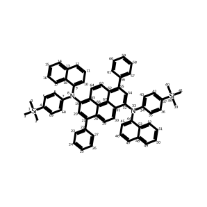 C[Si](C)(C)c1ccc(N(c2cccc3ccccc23)c2cc(-c3ccccc3)c3ccc4c(N(c5ccc([Si](C)(C)C)cc5)c5cccc6ccccc56)cc(-c5ccccc5)c5ccc2c3c54)cc1